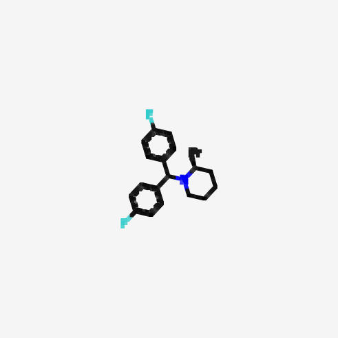 CC(C)[C@H]1CCCCN1C(c1ccc(F)cc1)c1ccc(F)cc1